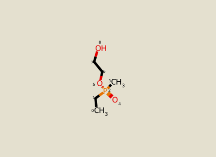 CCP(C)(=O)OCCO